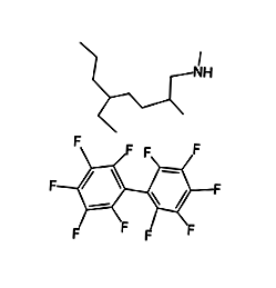 CCCC(CC)CCC(C)CNC.Fc1c(F)c(F)c(-c2c(F)c(F)c(F)c(F)c2F)c(F)c1F